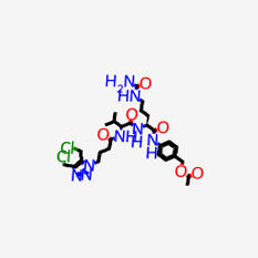 CC(=O)OCc1ccc(NC(=O)[C@H](CCCNC(N)=O)NC(=O)[C@@H](NC(=O)CCCn2nnc(CCl)c2CCl)C(C)C)cc1